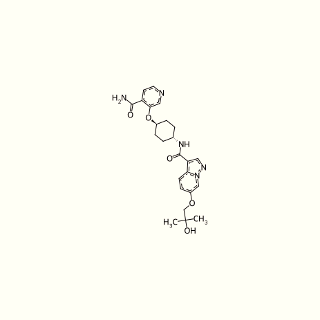 CC(C)(O)COc1ccc2c(C(=O)N[C@H]3CC[C@H](Oc4cnccc4C(N)=O)CC3)cnn2c1